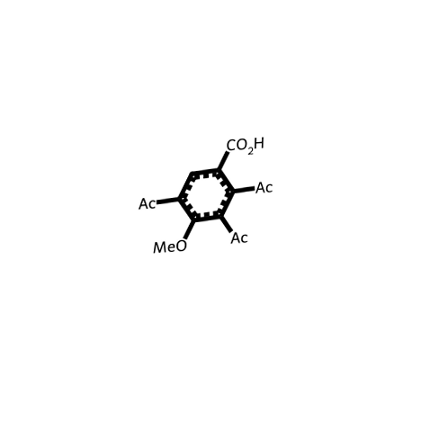 COc1c(C(C)=O)cc(C(=O)O)c(C(C)=O)c1C(C)=O